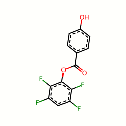 O=C(Oc1c(F)c(F)cc(F)c1F)c1ccc(O)cc1